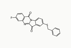 O=C1c2cc(SCc3ccccc3)ccc2-n2c1nc1cc(F)ccc1c2=O